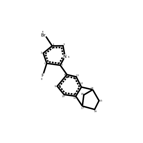 Fc1cc(Br)cnc1-c1ccc2c(c1)C1CCC2C1